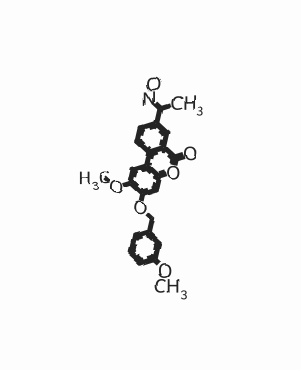 COc1cccc(COc2cc3oc(=O)c4cc(C(C)N=O)ccc4c3cc2OC)c1